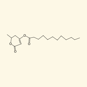 CCCCCCCCCCCC(=O)OC1=CC(=O)OC(C)C1